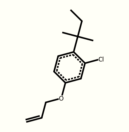 C=CCOc1ccc(C(C)(C)CC)c(Cl)c1